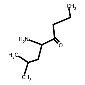 CCCC(=O)C(N)CC(C)C